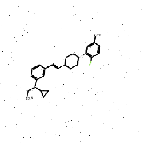 COc1ccc(F)c([C@H]2CC[C@H](/C=C/c3cccc(C(CC(=O)O)C4CC4)c3)CC2)c1